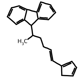 CC(CCC=CC1=CC=CC1)C1c2ccccc2-c2ccccc21